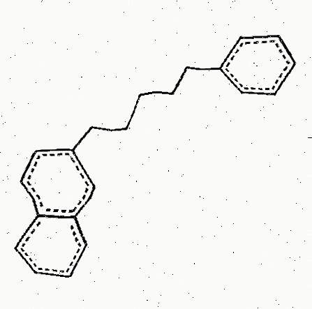 [CH](CCCc1ccccc1)Cc1ccc2ccccc2c1